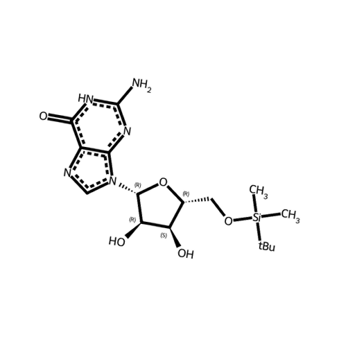 CC(C)(C)[Si](C)(C)OC[C@H]1O[C@@H](n2cnc3c(=O)[nH]c(N)nc32)[C@H](O)[C@@H]1O